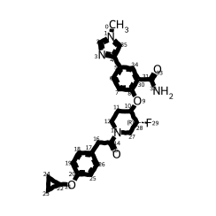 Cn1cnc(-c2ccc(OC3CCN(C(=O)Cc4ccc(OC5CC5)cc4)C[C@H]3F)c(C(N)=O)c2)c1